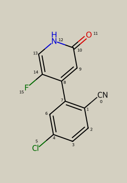 N#Cc1ccc(Cl)cc1-c1cc(=O)[nH]cc1F